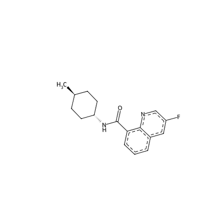 C[C@H]1CC[C@H](NC(=O)c2cccc3cc(F)cnc23)CC1